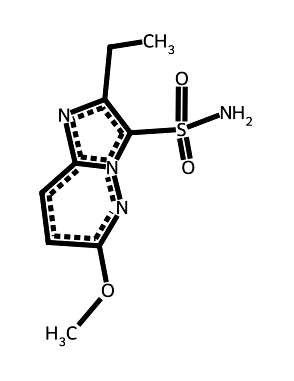 CCc1nc2ccc(OC)nn2c1S(N)(=O)=O